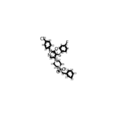 O=c1c(Sc2ccc(F)cc2)c(N2CCN(S(=O)(=O)Cc3ccccc3)CC2)cnn1-c1ccc(Cl)cc1